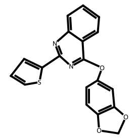 c1csc(-c2nc(Oc3ccc4c(c3)OCO4)c3ccccc3n2)c1